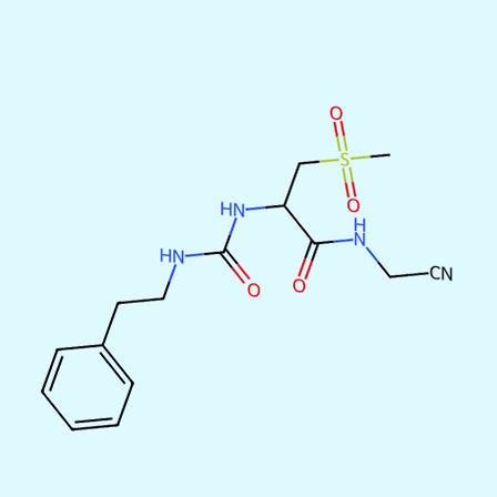 CS(=O)(=O)CC(NC(=O)NCCc1ccccc1)C(=O)NCC#N